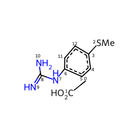 CC(=O)O.CSc1ccc(NC(=N)N)cc1